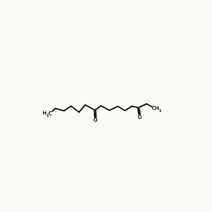 CCCCCCC(=O)CCCCCC(=O)CC